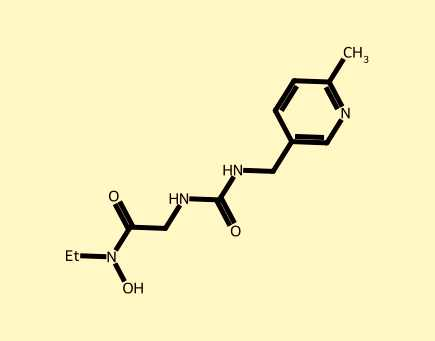 CCN(O)C(=O)CNC(=O)NCc1ccc(C)nc1